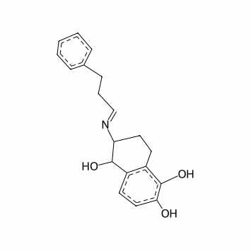 Oc1ccc2c(c1O)CCC(/N=C/CCc1ccccc1)C2O